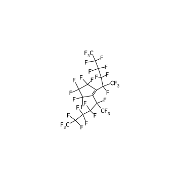 FC(F)(F)C(F)(F)C(F)(F)C(F)(F)C(F)(C1=C(C(F)(C(F)(F)F)C(F)(F)C(F)(F)C(F)(F)C(F)(F)F)C(F)(F)C(F)(F)C1(F)F)C(F)(F)F